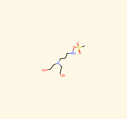 CS(=O)(=O)ONCCCN(CCO)CCO